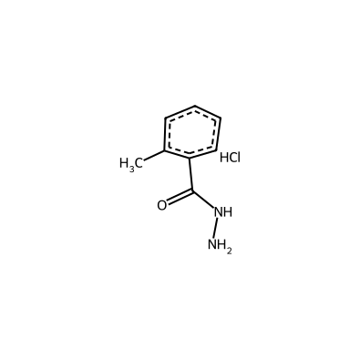 Cc1ccccc1C(=O)NN.Cl